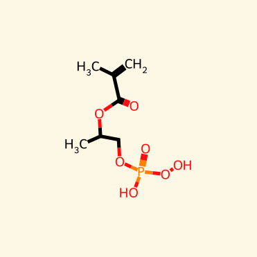 C=C(C)C(=O)OC(C)COP(=O)(O)OO